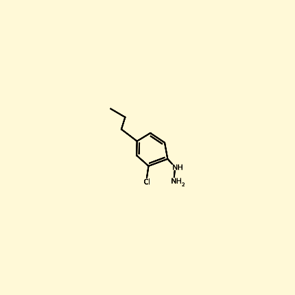 CCCc1ccc(NN)c(Cl)c1